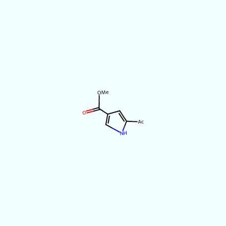 COC(=O)c1c[nH]c(C(C)=O)c1